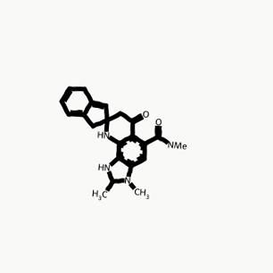 CNC(=O)c1cc2c(c3c1C(=O)CC1(C=C4CC=CC=C4C1)N3)NC(C)N2C